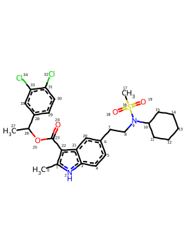 Cc1[nH]c2ccc(CCN(C3CCCCC3)S(C)(=O)=O)cc2c1C(=O)OC(C)c1ccc(Cl)c(Cl)c1